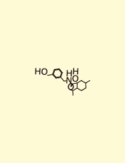 CC1CCC(C(C)C)[C@@](O)(C(=O)NCc2cccc(CO)c2)C1